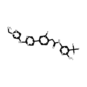 CCn1cc(Nc2ncc(-c3ccc(CC(=O)Nc4cnc(C)c(C(F)(F)F)c4)c(F)c3)cn2)cn1